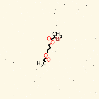 C=CC(=O)OCCCCOC(=O)C(C)Br